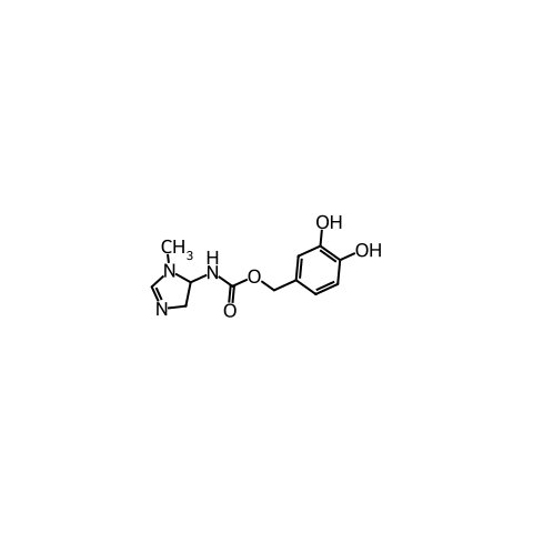 CN1C=NCC1NC(=O)OCc1ccc(O)c(O)c1